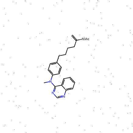 C=C(CCCCc1ccc(N(C)c2ncnc3ccccc23)cc1)NC